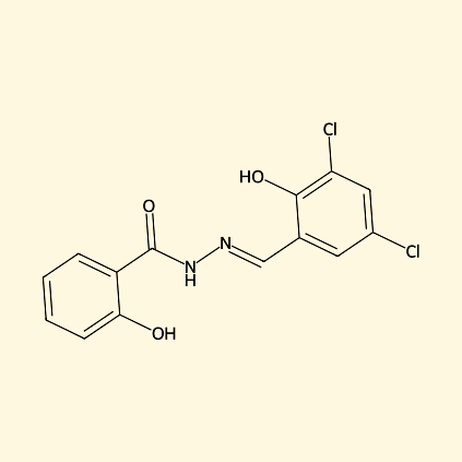 O=C(N/N=C/c1cc(Cl)cc(Cl)c1O)c1ccccc1O